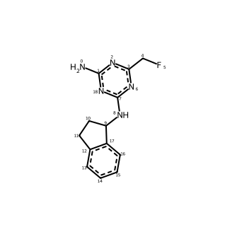 Nc1nc(CF)nc(NC2CCc3ccccc32)n1